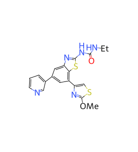 CCNC(=O)Nc1nc2cc(-c3cccnc3)cc(-c3csc(OC)n3)c2s1